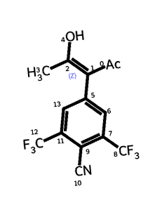 CC(=O)/C(=C(/C)O)c1cc(C(F)(F)F)c(C#N)c(C(F)(F)F)c1